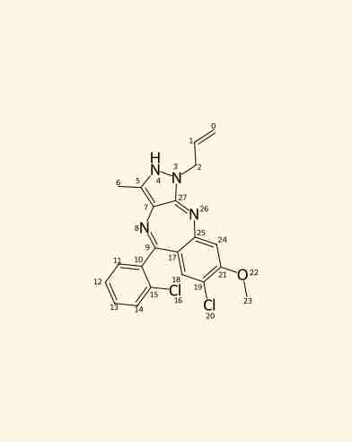 C=CCN1NC(C)=C2N=C(c3ccccc3Cl)c3cc(Cl)c(OC)cc3N=C21